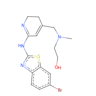 CN(CCO)CC1=CC(Nc2nc3ccc(Br)cc3s2)=NCC1